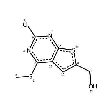 CSc1nc(Cl)nc2sc(CO)cc12